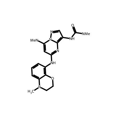 CNC(=O)Nc1cnn2c(NC)cc(Nc3cccc4c3OCCN4C)nc12